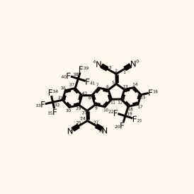 N#CC(C#N)=C1c2cc3c(cc2-c2c1cc(F)cc2C(F)(F)F)C(=C(C#N)C#N)c1cc(C(F)(F)F)cc(C(F)(F)F)c1-3